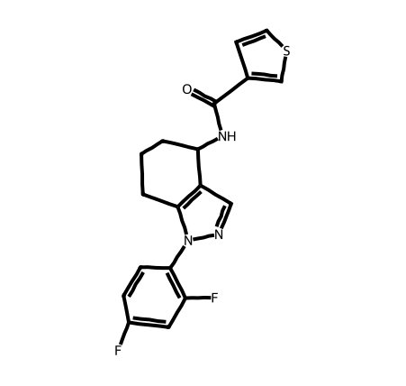 O=C(NC1CCCc2c1cnn2-c1ccc(F)cc1F)c1ccsc1